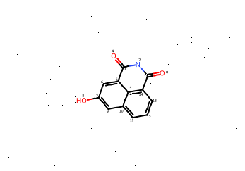 O=C1[N]C(=O)c2cc(O)cc3cccc1c23